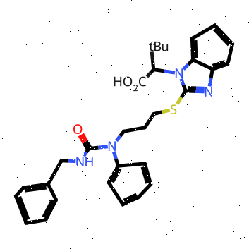 CC(C)(C)C(C(=O)O)n1c(SCCCN(C(=O)NCc2ccccc2)c2ccccc2)nc2ccccc21